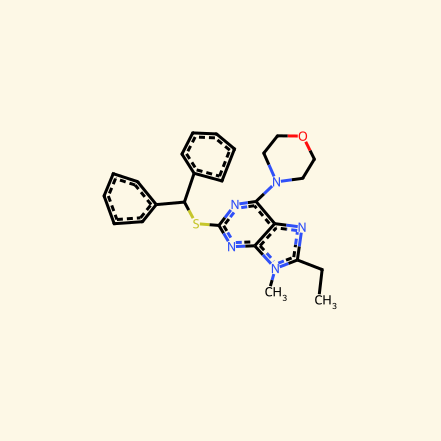 CCc1nc2c(N3CCOCC3)nc(SC(c3ccccc3)c3ccccc3)nc2n1C